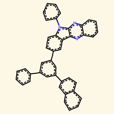 c1ccc(-c2cc(-c3ccc4ccccc4c3)cc(-c3ccc4c(c3)c3nc5ccccc5nc3n4-c3ccccc3)c2)cc1